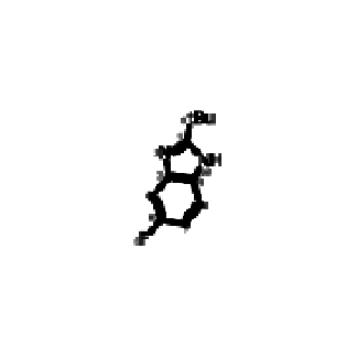 CC(C)(C)c1nc2cc(F)ccc2[nH]1